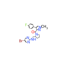 Cn1cc(-c2ccc(F)cc2)c(C(=O)N2CCCC2CNc2ncc(Br)cn2)n1